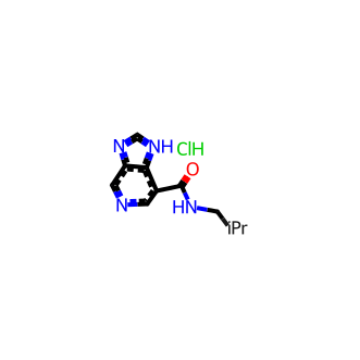 CC(C)CNC(=O)c1cncc2nc[nH]c12.Cl